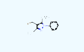 COc1c(CBr)c(C(F)(F)F)nn1-c1ccccc1